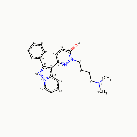 CN(C)CCCCn1nc(-c2c(-c3ccccc3)nn3ccccc23)ccc1=O